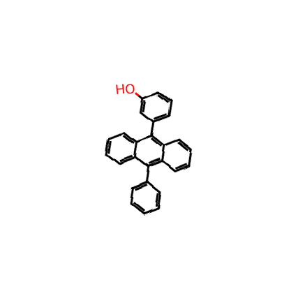 Oc1cccc(-c2c3ccccc3c(-c3ccccc3)c3ccccc23)c1